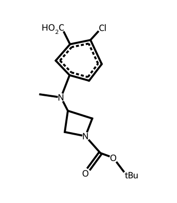 CN(c1ccc(Cl)c(C(=O)O)c1)C1CN(C(=O)OC(C)(C)C)C1